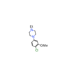 CCN1CCN(c2ccc(Cl)c(OC)c2)CC1